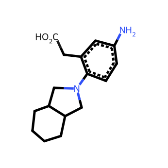 Nc1ccc(N2CC3CCCCC3C2)c(CC(=O)O)c1